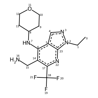 CCn1ncc2c(NC3CCOCC3)c(CN)c(C(F)(F)F)nc21